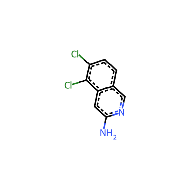 Nc1cc2c(Cl)c(Cl)ccc2cn1